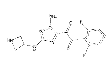 Nc1nc(NC2CNC2)sc1C(=O)C(=O)c1c(F)cccc1F